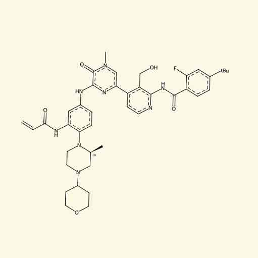 C=CC(=O)Nc1cc(Nc2nc(-c3ccnc(NC(=O)c4ccc(C(C)(C)C)cc4F)c3CO)cn(C)c2=O)ccc1N1CCN(C2CCOCC2)C[C@@H]1C